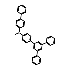 CN(c1ccc(-c2ccccc2)cc1)c1ccc(-c2cc(-c3ccccc3)cc(-c3ccccc3)c2)cc1